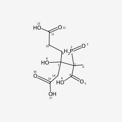 CC([PH2]=O)(C(=O)O)C(O)(CCC(=O)O)CC(=O)O